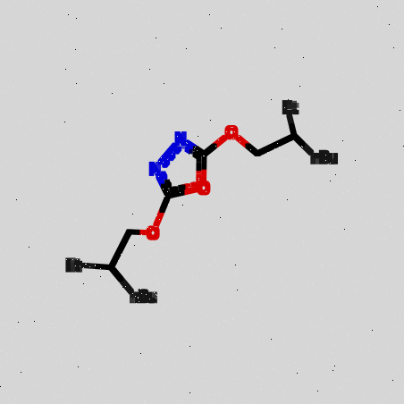 CCCCC(CC)COc1nnc(OCC(CC)CCCC)o1